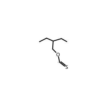 CCC(CC)CO[C]=S